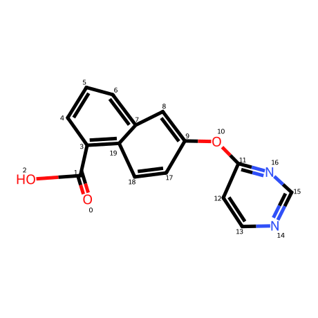 O=C(O)c1cccc2cc(Oc3ccncn3)ccc12